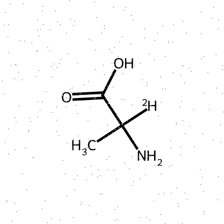 [2H]C(C)(N)C(=O)O